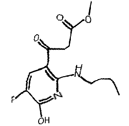 CCCNc1nc(O)c(F)cc1C(=O)CC(=O)OC